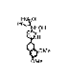 COc1cc2c(c(OC)c1)CC(C(=O)N[C@@H](CO)C(=O)N[C@@H](CC(C)C)B(O)O)CC2